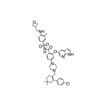 Cc1cc(S(=O)(=O)NC(=O)c2ccc(N3CCN(CC4=C(c5ccc(Cl)cc5)CC(C)(C)CC4)CC3)cc2Oc2cnc3[nH]ccc3c2)ccc1NCC1COC1